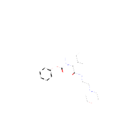 CCC(C)C(NC(=O)Oc1ccccc1)C(=O)NCCN1CCOCC1